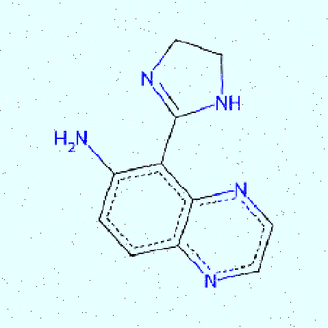 Nc1ccc2nccnc2c1C1=NCCN1